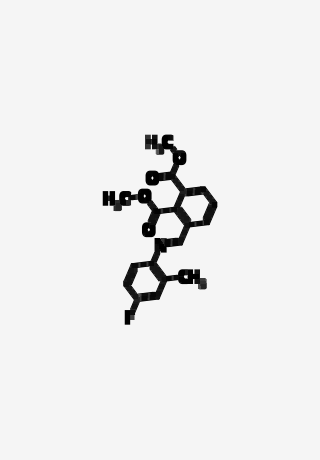 COC(=O)c1cccc(C=Nc2ccc(F)cc2C)c1C(=O)OC